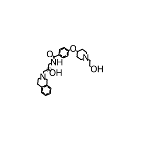 O=C(NC[C@H](O)CN1CCc2ccccc2C1)c1ccc(OC2CCN(CCO)CC2)cc1